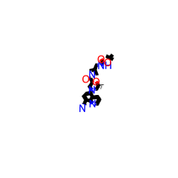 C[C@@H]1CN(c2ccc(C#N)c3ncccc23)CC(C(=O)N2CC(CNC(=O)OC(C)(C)C)C2)O1